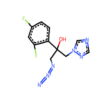 [N-]=[N+]=NCC(O)(Cn1cncn1)c1ccc(F)cc1F